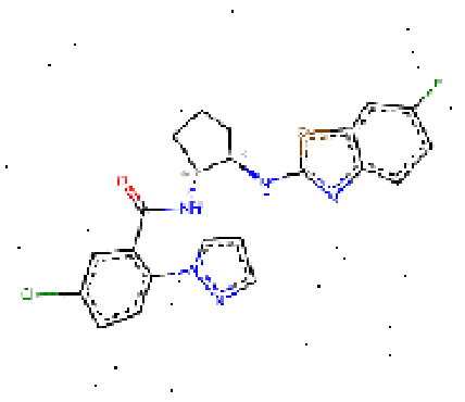 O=C(N[C@@H]1CCC[C@H]1Nc1nc2ccc(F)cc2s1)c1cc(Cl)ccc1-n1cccn1